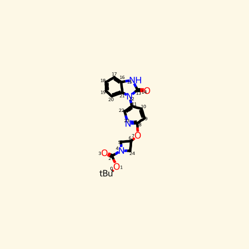 CC(C)(C)OC(=O)N1CC(Oc2ccc(-n3c(=O)[nH]c4ccccc43)cn2)C1